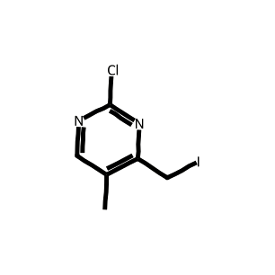 Cc1cnc(Cl)nc1CI